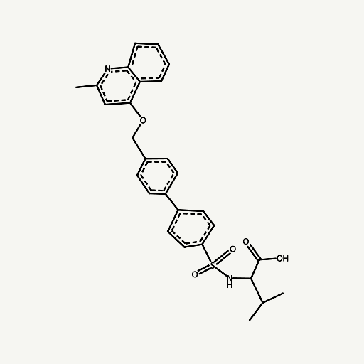 Cc1cc(OCc2ccc(-c3ccc(S(=O)(=O)NC(C(=O)O)C(C)C)cc3)cc2)c2ccccc2n1